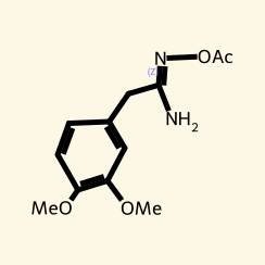 COc1ccc(C/C(N)=N/OC(C)=O)cc1OC